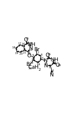 N#Cc1nn(-c2cc(Br)c(Oc3n[nH]c(=O)c4ccccc34)c(Br)c2)c(=O)[nH]c1=O.[CaH2]